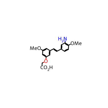 COc1cc(C=Cc2ccc(OC)c(N)c2)cc(OCC(=O)O)c1